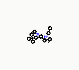 CC1C=CC=C(Nc2ccc(-c3ccccc3)cc2)C1c1cccc(-c2cccc(-c3ccc4c(c3Nc3ccccc3)C3C=CC=CC3(C)C4(c3ccccc3)c3ccccc3)c2)c1